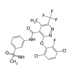 Cc1c(C(F)(F)F)nnc(Oc2c(Cl)ccc(Cl)c2F)c1C(=O)Nc1cccc(S(C)(=N)=O)c1